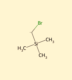 C[Si](C)(C)[CH]Br